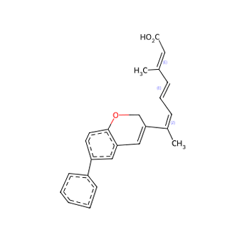 C/C(=C/C=C/C(C)=C/C(=O)O)C1=Cc2cc(-c3ccccc3)ccc2OC1